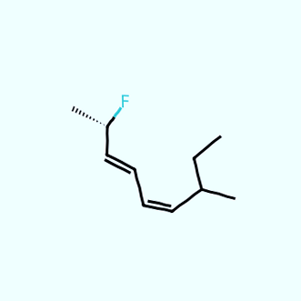 CCC(C)/C=C\C=C\[C@H](C)F